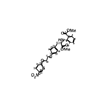 COC(=O)c1ccccc1N[C@@H](Cc1ccc(OCCOc2ccc([N+](=O)[O-])cn2)cc1)C(=O)OC